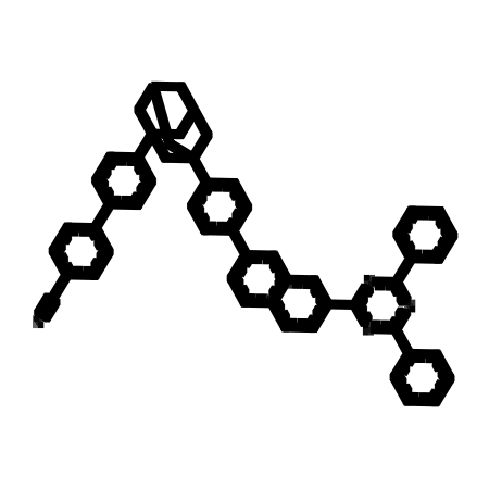 N#Cc1ccc(-c2ccc(C34CC5CC(C3)CC(c3ccc(-c6ccc7ccc(-c8nc(-c9ccccc9)nc(-c9ccccc9)n8)cc7c6)cc3)(C5)C4)cc2)cc1